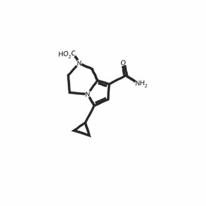 NC(=O)c1cc(C2CC2)n2c1CN(C(=O)O)CC2